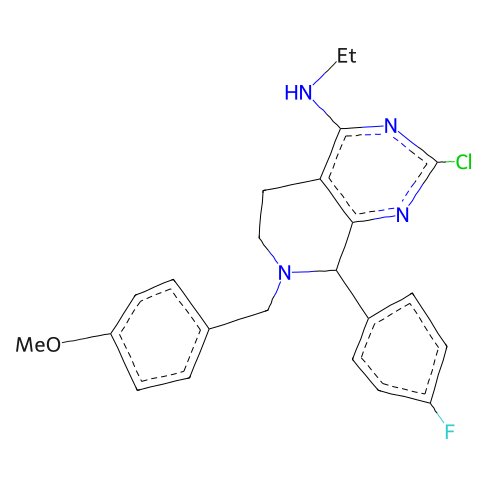 CCNc1nc(Cl)nc2c1CCN(Cc1ccc(OC)cc1)C2c1ccc(F)cc1